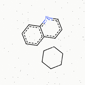 C1CCCCC1.c1ccc2ncccc2c1